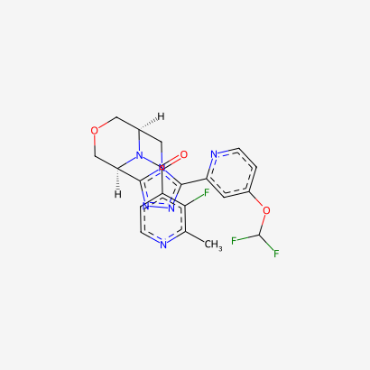 Cc1nccc(C(=O)N2[C@H]3COC[C@@H]2c2nnc(-c4cc(OC(F)F)ccn4)n2C3)c1F